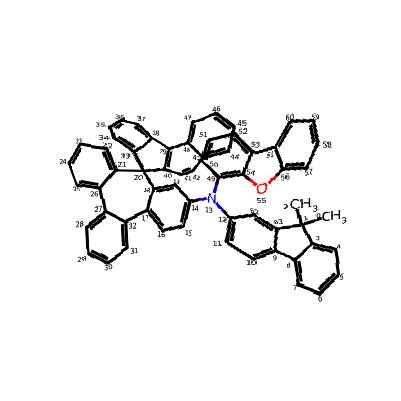 CC1(C)c2ccccc2-c2ccc(N(c3ccc4c(c3)C3(c5ccccc5-c5ccccc5-4)c4ccccc4-c4c3ccc3ccccc43)c3cccc4c3oc3ccccc34)cc21